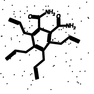 C=CCc1c(CC=C)c(CC=C)c(C(N)=O)c(C(N)=O)c1CC=C